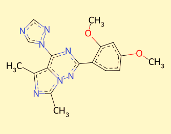 COc1ccc(-c2nc(-n3cncn3)c3c(C)nc(C)n3n2)c(OC)c1